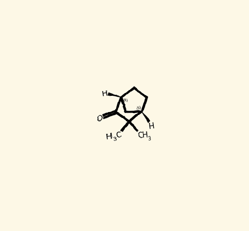 CC1(C)C(=O)[C@@H]2CC[C@H]1C2